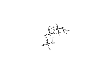 O=P([O-])([O-])[O-].O=P([O-])([O-])[O-].O=P([O-])([O-])[O-].[C+4].[K+].[Ti+4]